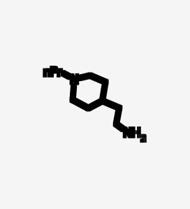 CCCN1CCC(CCN)CC1